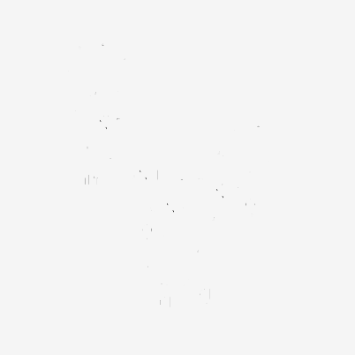 Cc1cc(C)cc(C(=O)N2CCN(C(=O)[C@H](CC(C)C)NC3CCN(Cc4ccccc4)CC3)[C@@H](c3ccc(Cl)c(Cl)c3)C2)c1